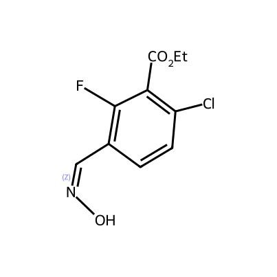 CCOC(=O)c1c(Cl)ccc(/C=N\O)c1F